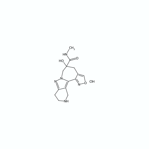 CNC(=O)C1(O)Cc2conc2-c2c3c(nn2C1)CCNC3.Cl